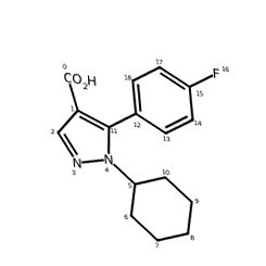 O=C(O)c1cnn(C2CCCCC2)c1-c1ccc(F)cc1